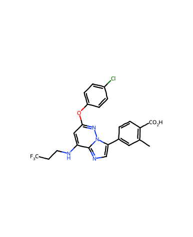 Cc1cc(-c2cnc3c(NCCC(F)(F)F)cc(Oc4ccc(Cl)cc4)nn23)ccc1C(=O)O